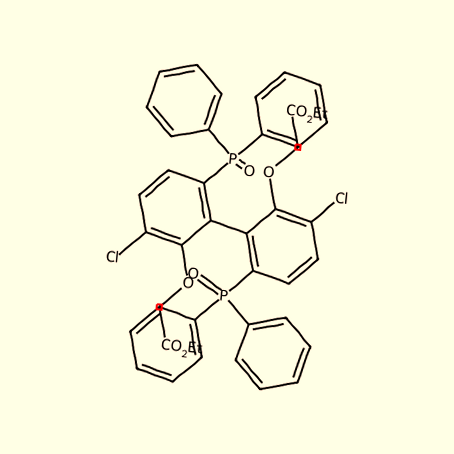 CCOC(=O)COc1c(Cl)ccc(P(=O)(c2ccccc2)c2ccccc2)c1-c1c(P(=O)(c2ccccc2)c2ccccc2)ccc(Cl)c1OCC(=O)OCC